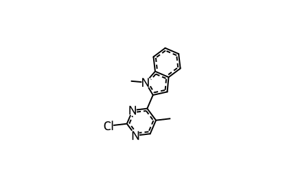 Cc1cnc(Cl)nc1-c1cc2ccccc2n1C